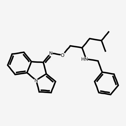 CC(C)CC(CON=C1c2ccccc2-n2cccc21)NCc1ccccc1